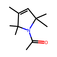 CC(=O)N1C(C)(C)C=C(C)C1(C)C